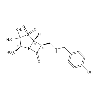 CC1(C)[C@H](C(=O)O)N2C(=O)[C@H](CNCc3ccc(O)cc3)[C@H]2S1(=O)=O